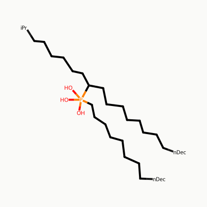 CCCCCCCCCCCCCCCCCCC(CCCCCCC(C)C)P(O)(O)(O)CCCCCCCCCCCCCCCCCC